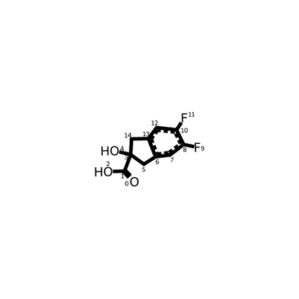 O=C(O)C1(O)Cc2cc(F)c(F)cc2C1